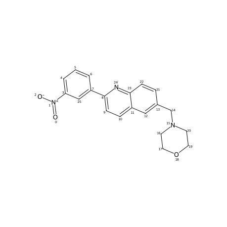 O=[N+]([O-])c1cccc(-c2ccc3cc(CN4CCOCC4)ccc3n2)c1